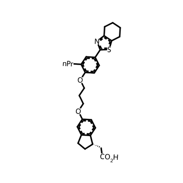 CCCc1cc(-c2nc3c(s2)CCCC3)ccc1OCCCOc1ccc2c(c1)CC[C@H]2CC(=O)O